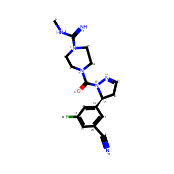 CNC(=N)N1CCN(C(=O)N2N=CC[C@H]2c2cc(F)cc(C#N)c2)CC1